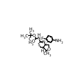 C[C@H]1OC[C@]2(c3cc(N)ccc3F)N=C(NC(=O)OC(C)(C)C)SC[C@H]12